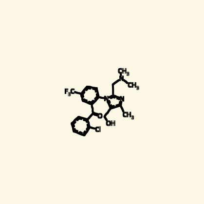 Cc1nc(CN(C)C)n(-c2ccc(C(F)(F)F)cc2C(=O)c2ccccc2Cl)c1CO